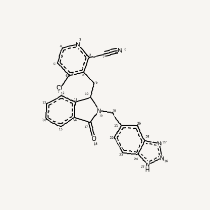 N#Cc1nccc(Cl)c1CC1c2ccccc2C(=O)N1Cc1ccc2[nH]nnc2c1